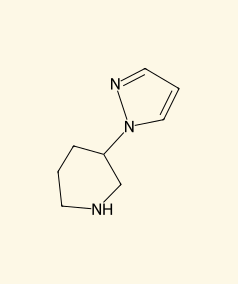 c1cnn(C2CCCNC2)c1